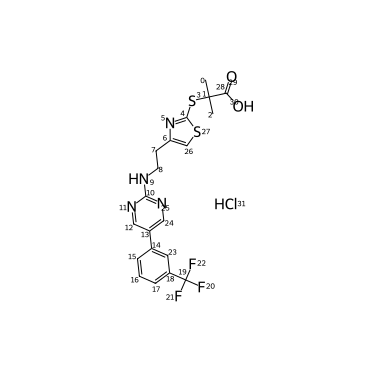 CC(C)(Sc1nc(CCNc2ncc(-c3cccc(C(F)(F)F)c3)cn2)cs1)C(=O)O.Cl